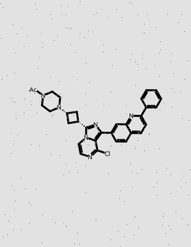 CC(=O)N1CCN([C@H]2C[C@@H](c3nc(-c4ccc5ccc(-c6ccccc6)nc5c4)c4c(Cl)nccn43)C2)CC1